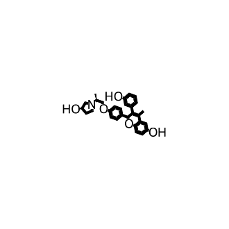 CC1=C(c2cccc(O)c2)C(c2ccc(OC[C@H](C)N3CC[C@@H](O)C3)cc2)Oc2ccc(O)cc21